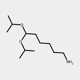 CC(C)OC(CCCCCN)OC(C)C